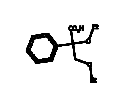 CCOCC(OCC)(C(=O)O)c1ccccc1